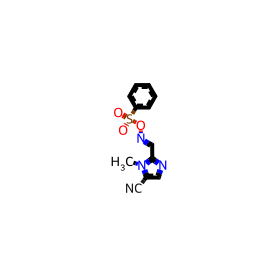 Cn1c(C#N)cnc1C=NOS(=O)(=O)c1ccccc1